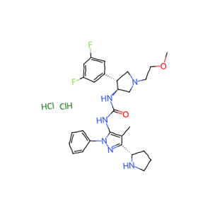 COCCN1C[C@@H](NC(=O)Nc2c(C)c([C@@H]3CCCN3)nn2-c2ccccc2)[C@H](c2cc(F)cc(F)c2)C1.Cl.Cl